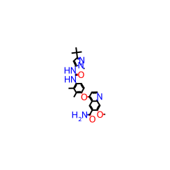 COc1cc2nccc(Oc3ccc(NC(=O)Nc4cc(C(C)(C)C)nn4C)c(C)c3C)c2cc1C(N)=O